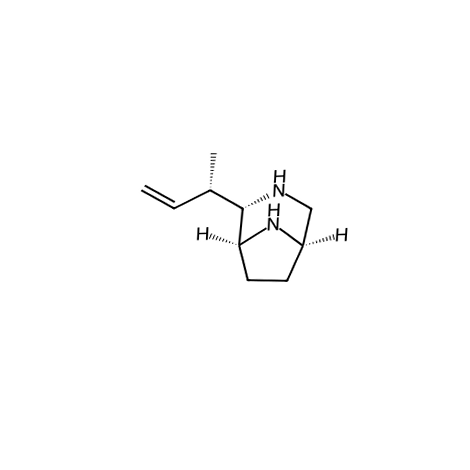 C=C[C@H](C)[C@@H]1NC[C@H]2CC[C@@H]1N2